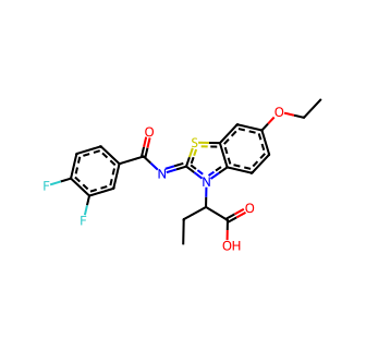 CCOc1ccc2c(c1)s/c(=N\C(=O)c1ccc(F)c(F)c1)n2C(CC)C(=O)O